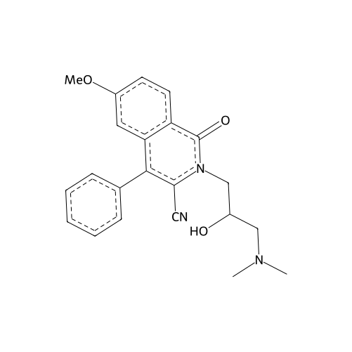 COc1ccc2c(=O)n(CC(O)CN(C)C)c(C#N)c(-c3ccccc3)c2c1